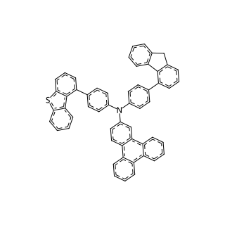 c1ccc2c(c1)Cc1cccc(-c3ccc(N(c4ccc(-c5cccc6sc7ccccc7c56)cc4)c4ccc5c6ccccc6c6ccccc6c5c4)cc3)c1-2